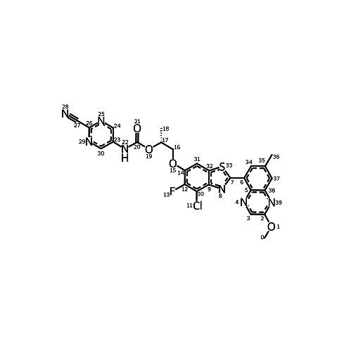 COc1cnc2c(-c3nc4c(Cl)c(F)c(OC[C@@H](C)OC(=O)Nc5cnc(C#N)nc5)cc4s3)cc(C)cc2n1